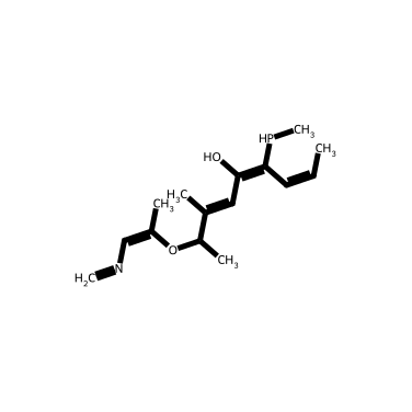 C=N/C=C(/C)OC(C)/C(C)=C/C(O)=C(\C=C/C)PC